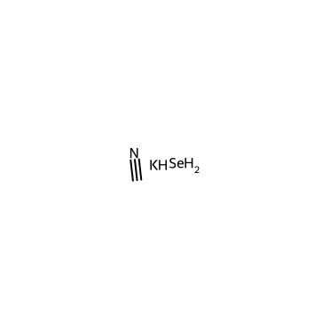 C#N.[KH].[SeH2]